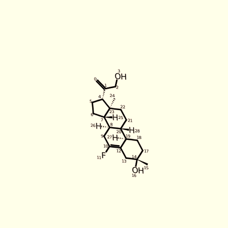 C=C(CO)[C@H]1CC[C@H]2[C@@H]3CC(F)=C4C[C@@](C)(O)CC[C@@H]4[C@H]3CC[C@]12C